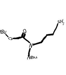 CCCCN(CCC[SiH3])C(=O)OC(C)(C)C